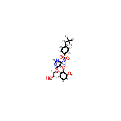 COc1ccccc1Oc1c(NS(=O)(=O)c2ccc(CC(C)(C)C)cc2)ncnc1OCCO